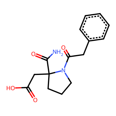 NC(=O)C1(CC(=O)O)CCCN1C(=O)Cc1ccccc1